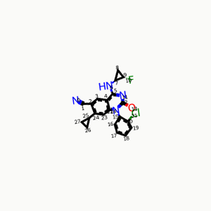 N#Cc1cc2c(N[C@H]3C[C@@H]3F)nc(=O)n(-c3ccccc3Cl)c2cc1C1CC1